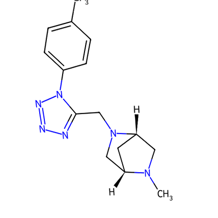 CN1C[C@@H]2C[C@H]1CN2Cc1nnnn1-c1ccc(C(F)(F)F)cc1